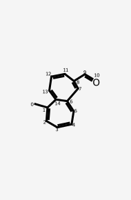 CC1=CC=CC=C2C=C(C=O)C=CC=C12